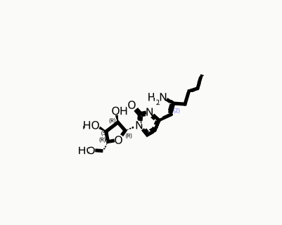 CCCC/C(N)=C/c1ccn([C@@H]2O[C@H](CO)[C@@H](O)[C@H]2O)c(=O)n1